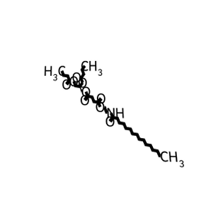 CCCCCCCCCCCCCCCC(=O)NCCOC(=O)CCC(=O)OC[C@@H](COC(=O)CCC)OC(=O)CCC